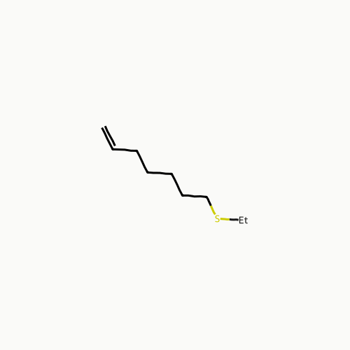 [CH2]CSCCCCCC=C